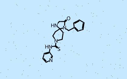 O=C1CNC2(CCN(C(=S)Nc3cccnc3)CC2)N1Cc1ccccc1